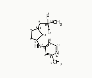 Cc1cc(NC2CCN(CC(C)(F)F)C2)ncn1